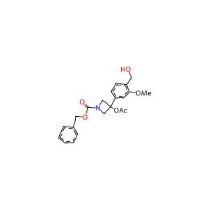 COc1cc(C2(OC(C)=O)CN(C(=O)OCc3ccccc3)C2)ccc1CO